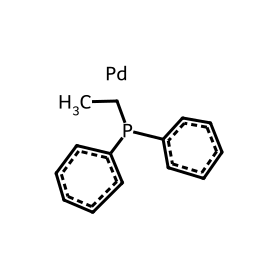 CCP(c1ccccc1)c1ccccc1.[Pd]